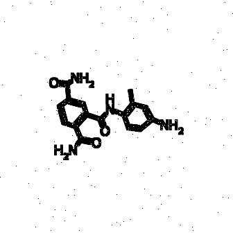 Cc1cc(N)ccc1NC(=O)c1cc(C(N)=O)ccc1C(N)=O